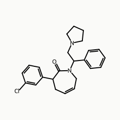 O=C1C(c2cccc(Cl)c2)CC=CCN1C(CN1CCCC1)c1ccccc1